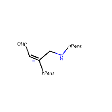 CCCCCNC/C(=C\C=O)CCCCC